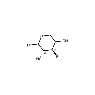 CCC1OCC(O)[C@@H](F)[C@@H]1O